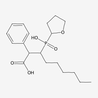 CCCCCCC(C(C(=O)O)c1ccccc1)P(=O)(O)C1CCCO1